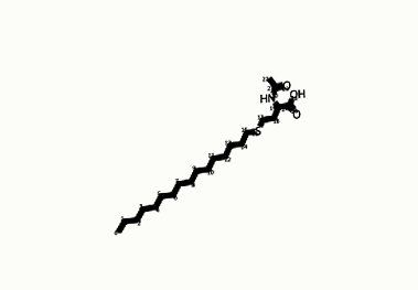 CCCCCCCCCCCCCCCCSCCC(NC(C)=O)C(=O)O